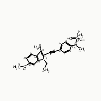 CCn1c(C#Cc2ccc(N(C)S(C)(=O)=O)cc2)c(N)c2ccc(OC)cc21